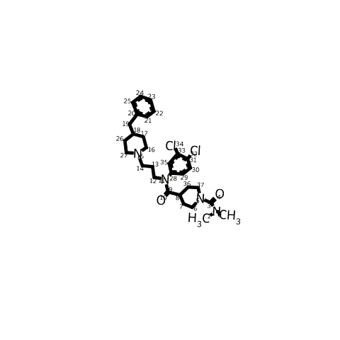 CN(C)C(=O)N1CCC(C(=O)N(CCCN2CCC(Cc3ccccc3)CC2)c2ccc(Cl)c(Cl)c2)CC1